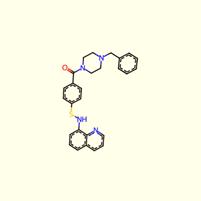 O=C(c1ccc(SNc2cccc3cccnc23)cc1)N1CCN(Cc2ccccc2)CC1